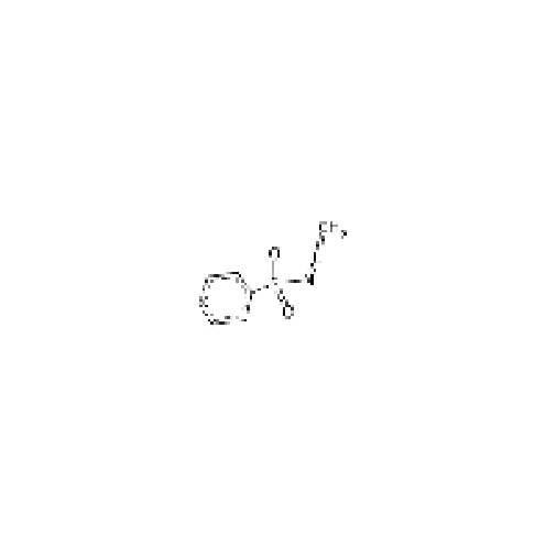 C=C=NS(=O)(=O)c1ccccc1